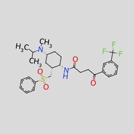 CC(C)N(C)[C@@H]1CC[C@H](NC(=O)CCC(=O)c2cccc(C(F)(F)F)c2)[C@H](CS(=O)(=O)c2ccccc2)C1